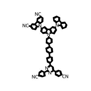 N#Cc1ccc(-c2cc(-c3ccc(-c4ccc(-c5ccc(-n6c7ccc(-n8c9ccccc9c9ccccc98)cc7c7cc(-n8c9ccc(C#N)cc9c9cc(C#N)ccc98)ccc76)cc5)cc4)cc3)nc(-c3ccc(C#N)cc3)n2)cc1